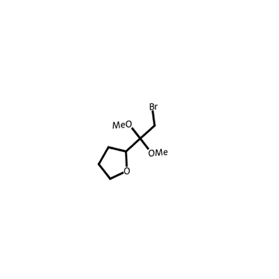 COC(CBr)(OC)C1CCCO1